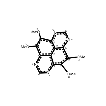 COc1c(OC)c2ncnc3c(OC)c(OC)c4ncnc1c4c23